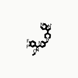 CCO/N=C(\c1ccc(F)c(F)c1)c1ccc(CN2CCC(c3cn(C)c4cnccc34)CC2)cn1